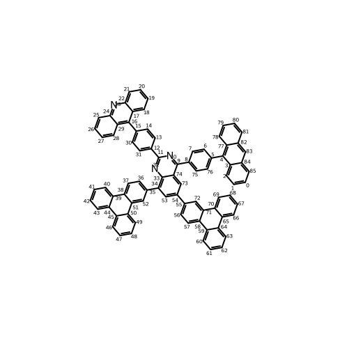 c1ccc2c(-c3ccc(-c4nc(-c5ccc(-c6c7ccccc7nc7ccccc67)cc5)nc5c(-c6ccc7c8ccccc8c8ccccc8c7c6)cc(-c6ccc7c8ccccc8c8ccccc8c7c6)cc45)cc3)c3ccccc3cc2c1